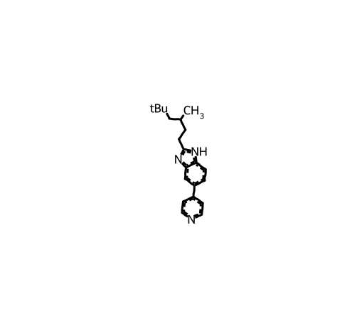 CC(CCc1nc2cc(-c3ccncc3)ccc2[nH]1)CC(C)(C)C